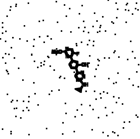 COc1ncc(F)c(-c2ccc(-c3cnc(NC4CC4)nn3)c(O)c2)n1